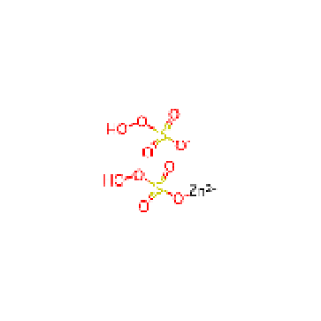 O=S(=O)([O-])OO.O=S(=O)([O-])OO.[Zn+2]